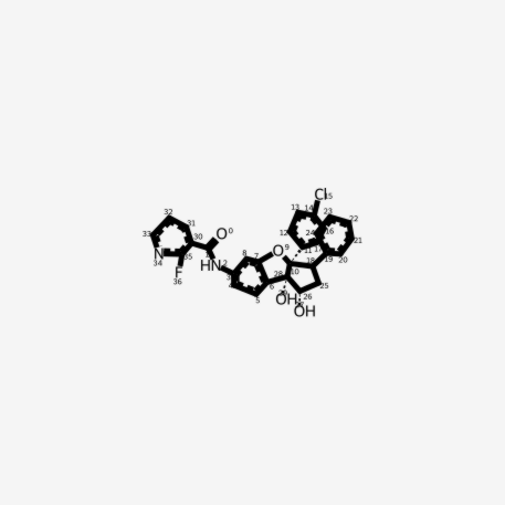 O=C(Nc1ccc2c(c1)O[C@@]1(c3ccc(Cl)cc3)C(c3ccccc3)C[C@H](O)[C@@]21O)c1cccnc1F